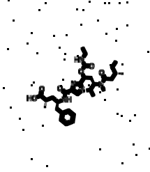 CCNC(=O)OC(C[C@H](C(C)C)N(C)C(=O)C[C@@H](C)CC)c1nc(C(=O)N[C@@H](Cc2ccccc2)C[C@H](C)C(=O)O)cs1